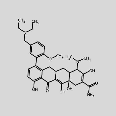 CCN(CC)Cc1ccc(OC)c(-c2ccc(O)c3c2CC2CC4C(N(C)C)C(O)=C(C(N)=O)CC4(O)C(O)=C2C3=O)c1